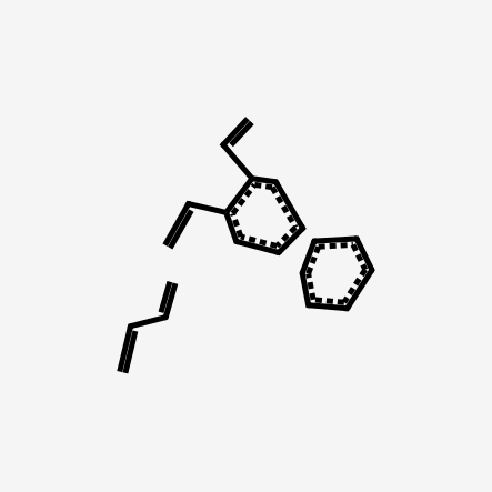 C=CC=C.C=Cc1ccccc1C=C.c1ccccc1